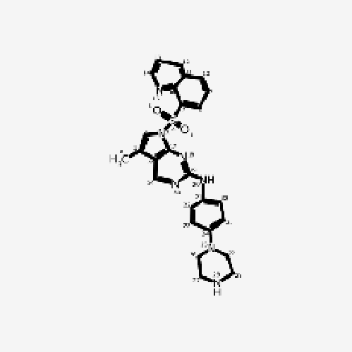 Cc1cn(S(=O)(=O)c2cccc3cccnc23)c2nc(Nc3ccc(N4CCNCC4)cc3)ncc12